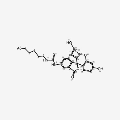 CC(=O)CCCCCNC(=S)Nc1ccc2c(c1)C(=O)OC21c2ccc(O)cc2Oc2cc(O)ccc21